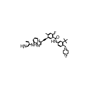 C=C/C(=C\NC)Nc1cccn2c(C#Cc3cc(C(=O)Nc4ccc(CN5CCN(C)CC5)c(C(C)(C)C)c4)c(F)cc3C)cnc12